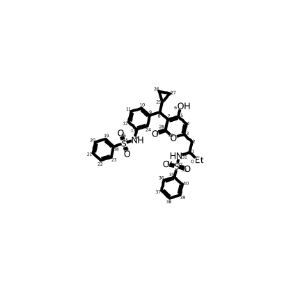 CCC(Cc1cc(O)c(C(c2cccc(NS(=O)(=O)c3ccccc3)c2)C2CC2)c(=O)o1)NS(=O)(=O)c1ccccc1